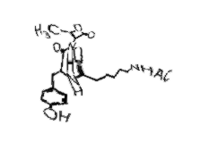 CC(=O)NCCCCCC(=O)N[C@@H](Cc1ccc(O)cc1)C(=O)N[C@@H]1C(=O)O[C@@H]1C